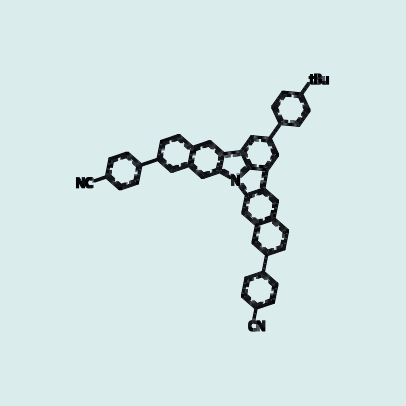 CC(C)(C)c1ccc(-c2cc3c4cc5ccc(-c6ccc(C#N)cc6)cc5cc4n4c5cc6cc(-c7ccc(C#N)cc7)ccc6cc5c(c2)c34)cc1